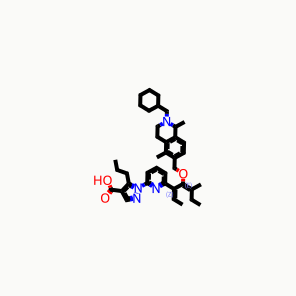 C/C=C(\C(OCc1ccc2c(c1C)CCN(CC1CCCCC1)C2C)=C(\C)CC)c1cccc(-n2ncc(C(=O)O)c2CCC)n1